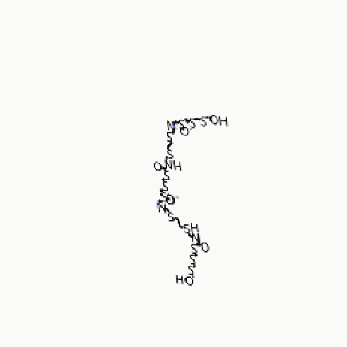 O=C(NCSCCSC/N=C\[S+]([O-])CSCSC(=O)NCSCCSC/N=C\[S+]([O-])CSCSCO)SCSCSCO